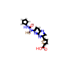 O=C(O)c1ccc(-c2cnc3ccc(N(S)C(=O)NC4CCCC4)nc3n2)s1